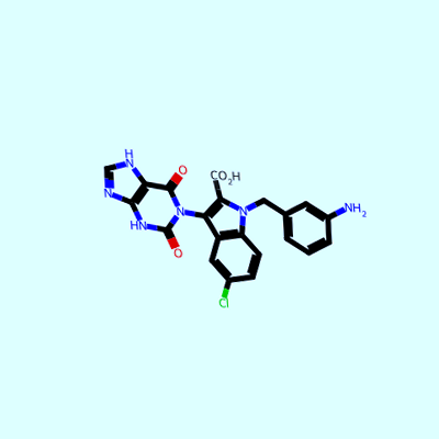 Nc1cccc(Cn2c(C(=O)O)c(-n3c(=O)[nH]c4nc[nH]c4c3=O)c3cc(Cl)ccc32)c1